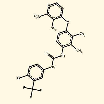 Cc1c(NC(=O)Nc2ccc(Cl)c(C(F)(F)F)c2)ccc(Oc2ccnc(N)c2N)c1C